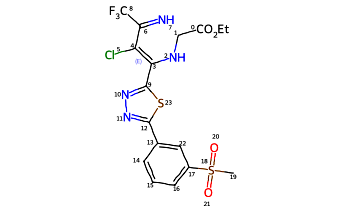 CCOC(=O)CN/C(=C(/Cl)C(=N)C(F)(F)F)c1nnc(-c2cccc(S(C)(=O)=O)c2)s1